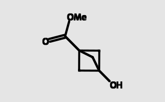 COC(=O)C12CC(O)(C1)C2